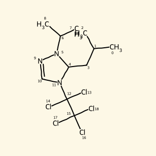 CC(C)CC1N(C(C)C)N=CN1C(Cl)(Cl)C(Cl)(Cl)Cl